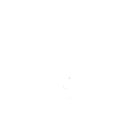 COC(=O)CC(=O)COC[C@@H]1C[C@@H](OS(C)(=O)=O)CN1C(=O)OCc1ccccc1